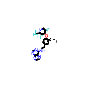 Cc1cc(CCNc2ncnc3nccnc23)ccc1Oc1c(F)cnc(C(F)(F)F)c1F